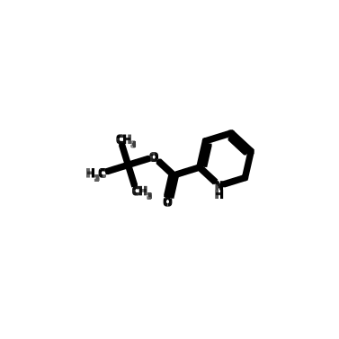 CC(C)(C)OC(=O)C1=CC=CCN1